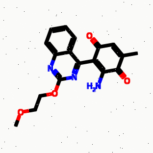 COCCOc1nc(C2=C(N)C(=O)C(C)=CC2=O)c2ccccc2n1